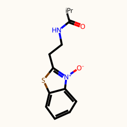 CC(C)C(=O)NCCc1sc2ccccc2[n+]1[O-]